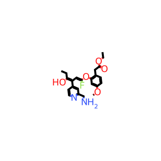 CCOC(=O)Cc1ccc(OC)cc1O/C(F)=C/C(=C(/O)CC)c1ccnc(CN)c1